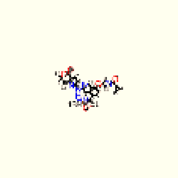 CC[C@@H](N[S@@+]([O-])C(C)(C)C)c1ccc(OC2CN(C(=O)C3CC3)C2)c2cnc(Nc3ccc4c(n3)[C@@H](C)C(C)(C)OC4=O)cc12